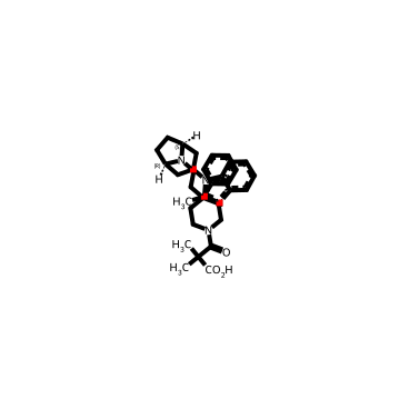 Cc1nc2ccccc2n1C1C[C@H]2CC[C@@H](C1)N2CCC1(c2ccccc2)CCN(C(=O)C(C)(C)C(=O)O)CC1